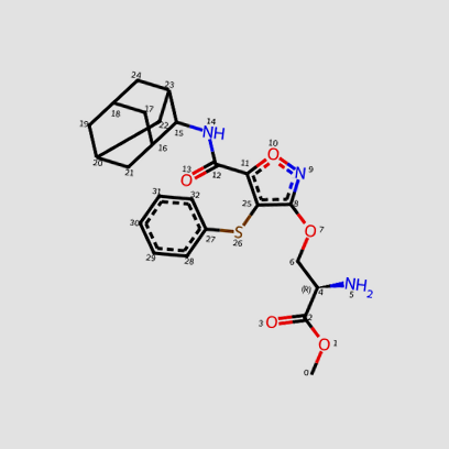 COC(=O)[C@H](N)COc1noc(C(=O)NC2C3CC4CC(C3)CC2C4)c1Sc1ccccc1